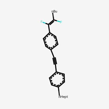 CCCCCCCc1ccc(C#Cc2ccc(C(F)=C(F)CCCC)cc2)cc1